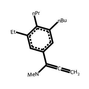 C=C=C(NC)c1cc(CC)c(CCC)c(CCCC)c1